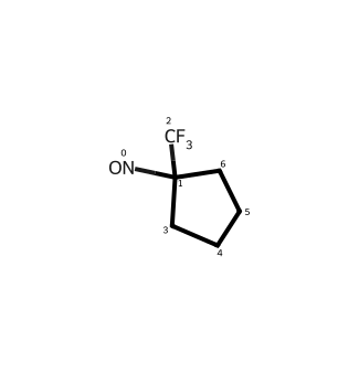 O=NC1(C(F)(F)F)CCCC1